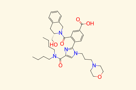 CCCCN(CCCC)C(=O)c1cn(CCCN2CCOCC2)c(-c2ccc(C(=O)O)cc2C(=O)N2Cc3ccccc3C[C@H]2CO)n1